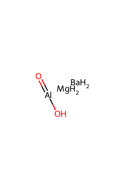 [BaH2].[MgH2].[O]=[Al][OH]